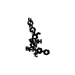 CCc1cc(Nc2ncc(Br)c(Nc3ccc(-c4ccccc4)cc3P(C)C)n2)c(OC)cc1N1CCC(N2CCN(C)CC2)CC1